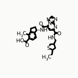 CCC1CC(CNC(=O)c2cc(C(=O)N[C@H]3CCc4c3ccc(C(=O)O)c4C)n3ncnc3n2)CS1